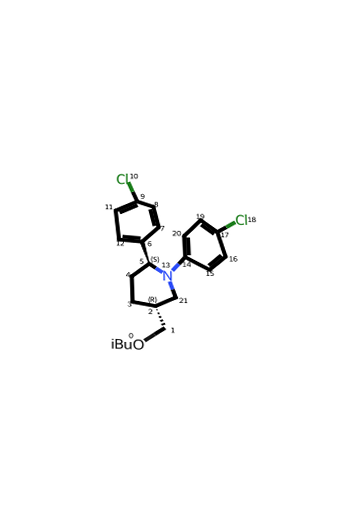 CC(C)COC[C@@H]1CC[C@@H](c2ccc(Cl)cc2)N(c2ccc(Cl)cc2)C1